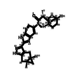 C[C@@H](C(=O)N(C)c1cnc2[nH]c(-c3n[nH]c4c3C[C@@H]3C[C@]3(C)C4)nc2c1)N1C[C@H]2CC[C@@H]1CO2